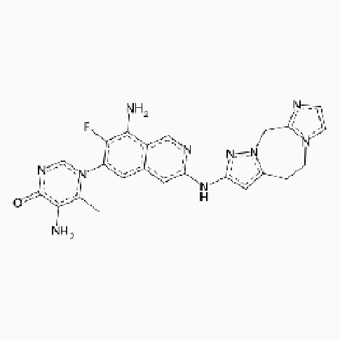 Cc1c(N)c(=O)ncn1-c1cc2cc(Nc3cc4n(n3)Cc3nccn3CC4)ncc2c(N)c1F